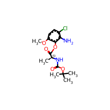 COc1ccc(Cl)c(N)c1OC(=O)[C@H](C)NC(=O)OC(C)(C)C